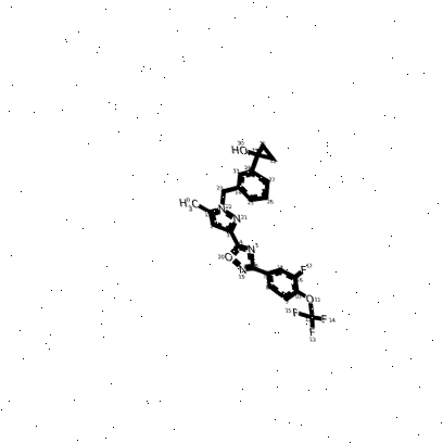 Cc1cc(-c2nc(-c3ccc(OC(F)(F)F)c(F)c3)no2)nn1Cc1cccc(C2(O)CC2)c1